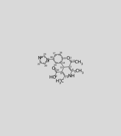 CC(=O)C1=C(C)NC(C)=C(C(=O)O)C1c1cccc(-n2ccnc2)c1